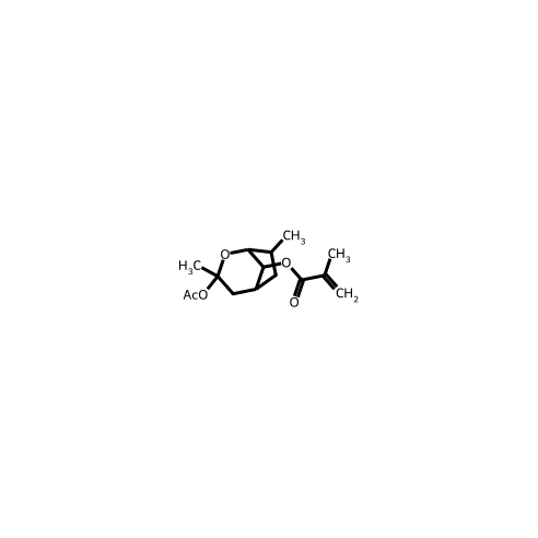 C=C(C)C(=O)OC1C2CC(C)C1OC(C)(OC(C)=O)C2